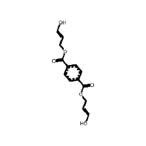 O=C(OCC=CO)c1ccc(C(=O)OCC=CO)cc1